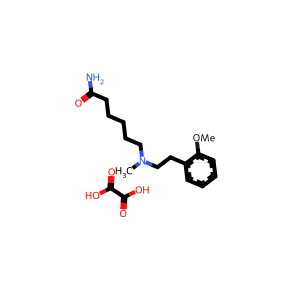 COc1ccccc1CCN(C)CCCCCC(N)=O.O=C(O)C(=O)O